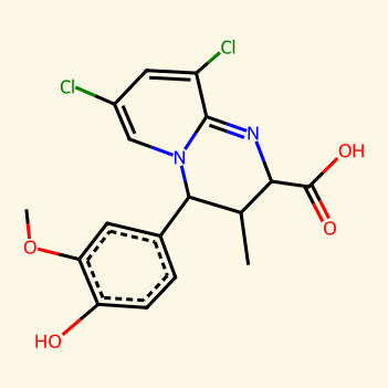 COc1cc(C2C(C)C(C(=O)O)N=C3C(Cl)=CC(Cl)=CN32)ccc1O